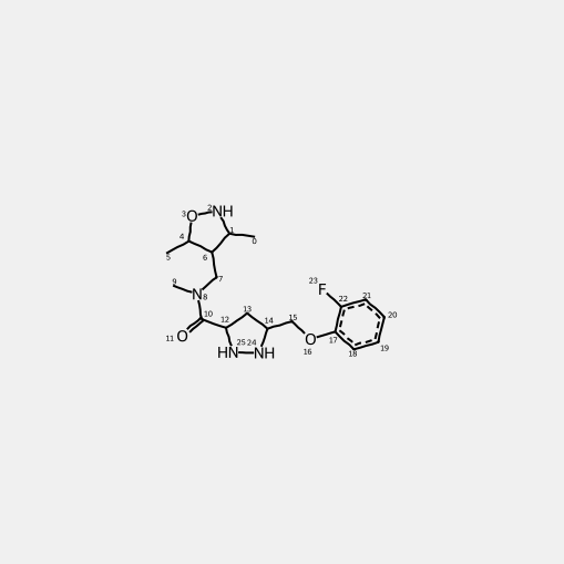 CC1NOC(C)C1CN(C)C(=O)C1CC(COc2ccccc2F)NN1